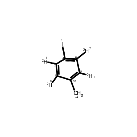 [2H]c1c([2H])c(I)c([2H])c([2H])c1C